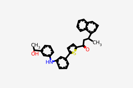 CC(O)c1cccc(Nc2cccc(-c3ccc(C(=O)CC(C)c4cccc5ccccc45)s3)c2)c1